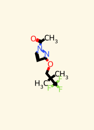 CC(=O)n1ccc(OCC(C)(C)C(F)(F)F)n1